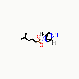 CC(C)CCCS(=O)(=O)N1C[C@H]2C[C@@H]1CN2